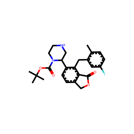 Cc1ccc(F)cc1Cc1c(C2CNCCN2C(=O)OC(C)(C)C)ccc2c1C(=O)OC2